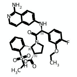 CCOc1cc([C@H](Nc2ccc3c(N)nccc3c2)C(=O)N2CC[C@H](C(=O)O)[C@@H]2c2ccccc2S(=O)(=O)CC)ccc1F